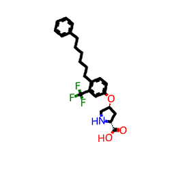 O=C(O)[C@H]1C[C@@H](Oc2ccc(CCCCCCc3ccccc3)c(C(F)(F)F)c2)CN1